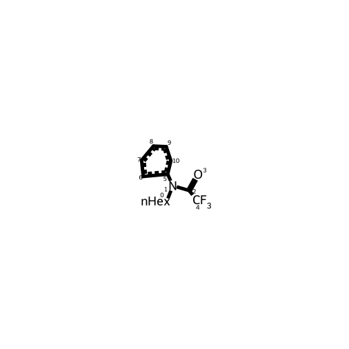 CCCCCCN(C(=O)C(F)(F)F)c1ccccc1